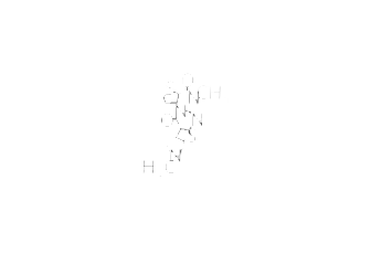 CN1CCc2c(sc3nc4n(c(=O)c23)-c2ccsc2C(=O)N(C)C4)C1